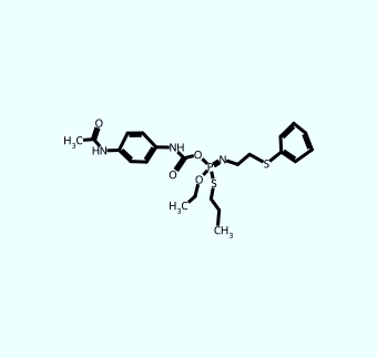 CCCSP(=NCCSc1ccccc1)(OCC)OC(=O)Nc1ccc(NC(C)=O)cc1